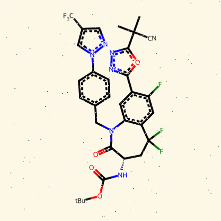 CC(C)(C)OC(=O)N[C@H]1CC(F)(F)c2cc(F)c(-c3nnc(C(C)(C)C#N)o3)cc2N(Cc2ccc(-n3cc(C(F)(F)F)cn3)cc2)C1=O